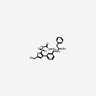 CCCCOC(=O)NS(=O)(=O)c1sc(CC(C)C)cc1-c1cccc(CNC(CCCC)Cc2ccccc2)c1